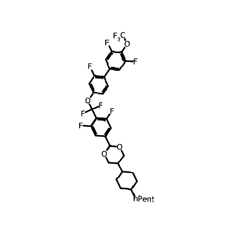 CCCCCC1CCC(C2COC(c3cc(F)c(C(F)(F)Oc4ccc(-c5cc(F)c(OC(F)(F)F)c(F)c5)c(F)c4)c(F)c3)OC2)CC1